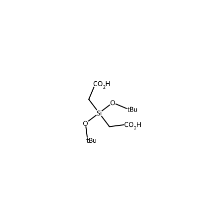 CC(C)(C)O[Si](CC(=O)O)(CC(=O)O)OC(C)(C)C